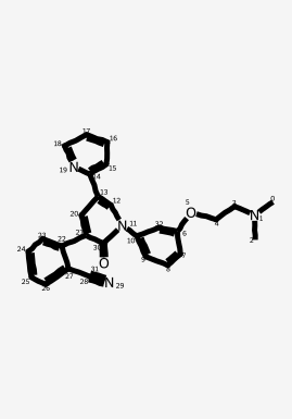 CN(C)CCOc1cccc(-n2cc(-c3ccccn3)cc(-c3ccccc3C#N)c2=O)c1